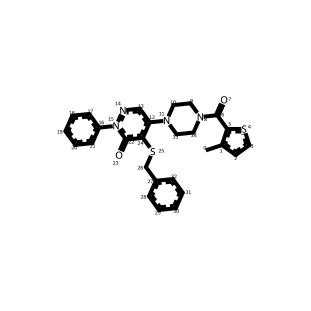 Cc1ccsc1C(=O)N1CCN(c2cnn(-c3ccccc3)c(=O)c2SCc2ccccc2)CC1